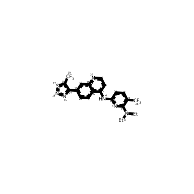 CCN(CC)c1nc(Nc2ccnc3cc(-c4nnsc4C(F)(F)F)ccc23)ccc1C(F)(F)F